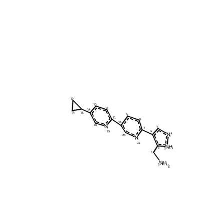 NCc1[nH]ncc1-c1ccc(-c2ccc(C3CC3)cn2)cn1